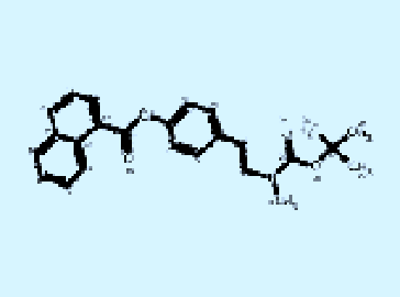 CN(C[CH]c1ccc(OC(=O)c2cccc3ccccc23)cc1)C(=O)OC(C)(C)C